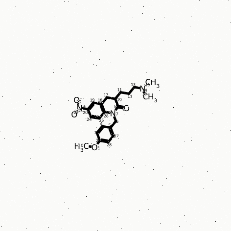 COc1ccc(CN2C(=O)C(CCCN(C)C)Cc3cc([N+](=O)[O-])ccc32)cc1